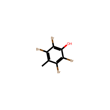 Cc1c(Br)c(Br)c(O)c(Br)c1Br